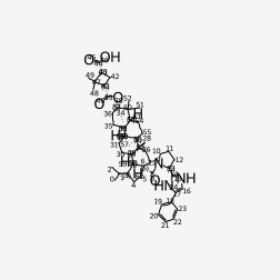 CC(C)[C@@H]1CC[C@]2(C(=O)N3CCC[C@H]3C3NC=C(c4ccccc4)N3)CC[C@]3(C)[C@H](CC[C@@H]4[C@@]5(C)CC[C@H](OC(=O)[C@H]6C[C@@H](C(=O)O)C6(C)C)C(C)(C)[C@@H]5CC[C@]43C)[C@@H]12